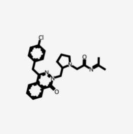 CC(C)=NC(=O)CN1CCCC1Cn1nc(Cc2ccc(Cl)cc2)c2ccccc2c1=O